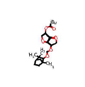 CCC(C)C(=O)OC1COC2C(OCOC3C4(C)CCC(C4)C3(C)C)COC12